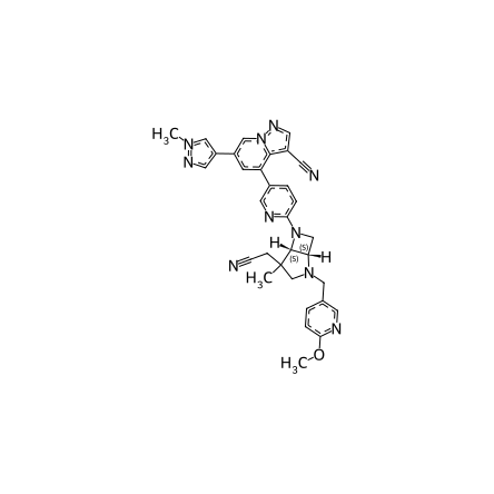 COc1ccc(CN2CC(C)(CC#N)[C@H]3[C@@H]2CN3c2ccc(-c3cc(-c4cnn(C)c4)cn4ncc(C#N)c34)cn2)cn1